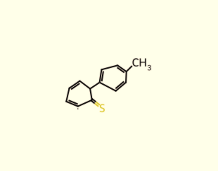 Cc1ccc(C2C=CC=[C]C2=S)cc1